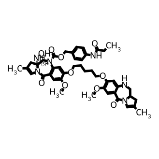 CCC(=O)Nc1ccc(COC(=O)N2c3cc(OCCCCCOc4cc5c(cc4OC)C(=O)N4C=C(C)CC4CN5)c(OC)cc3C(=O)N3C=C(C)C[C@@]3(N)[C@@H]2O)cc1